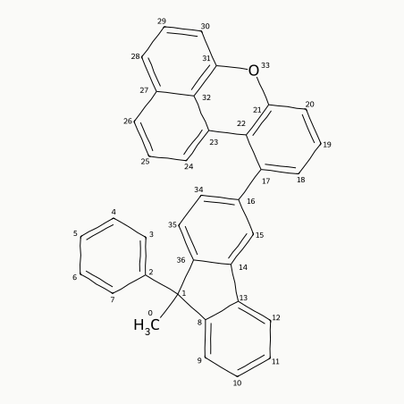 CC1(c2ccccc2)c2ccccc2-c2cc(-c3cccc4c3-c3cccc5cccc(c35)O4)ccc21